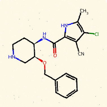 Cc1[nH]c(C(=O)N[C@@H]2CCNC[C@@H]2OCc2ccccc2)c(C#N)c1Cl